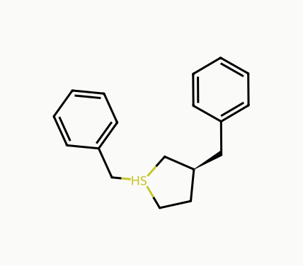 c1ccc(C[C@H]2CC[SH](Cc3ccccc3)C2)cc1